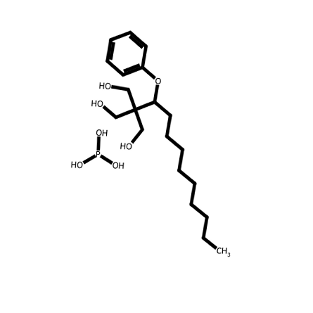 CCCCCCCCCC(Oc1ccccc1)C(CO)(CO)CO.OP(O)O